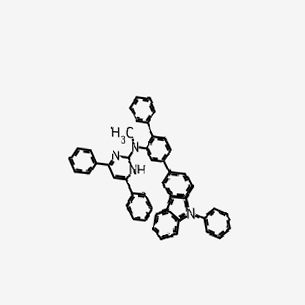 CN(c1cc(-c2ccc3c(c2)c2ccccc2n3-c2ccccc2)ccc1-c1ccccc1)C1N=C(c2ccccc2)C=C(c2ccccc2)N1